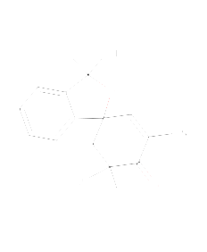 CC1(C)CC2(C=C(C#N)C1=O)OC(C)(C)c1ccccc12